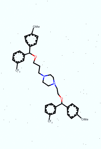 COc1ccc(C(OCCCN2CCN(CCOC(c3ccc(OC)cc3)c3cccc(C(F)(F)F)c3)CC2)c2cccc(C(F)(F)F)c2)cc1